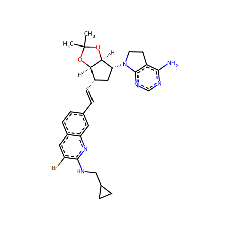 CC1(C)O[C@@H]2[C@H](O1)[C@@H](/C=C/c1ccc3cc(Br)c(NCC4CC4)nc3c1)C[C@H]2N1CCc2c(N)ncnc21